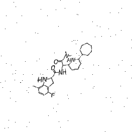 Cc1ccc(F)c2c1NC(C(=O)NC(C(=O)N(C)C)C1CCCC(C3CCCCCC3)N1)C2